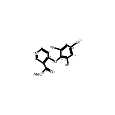 COC(=O)c1cnccc1Oc1c(F)cc(Br)cc1F